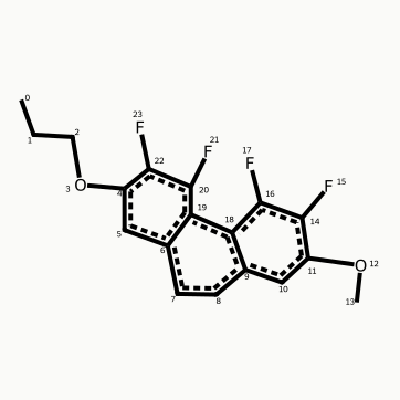 CCCOc1cc2ccc3cc(OC)c(F)c(F)c3c2c(F)c1F